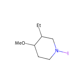 CCC1CN(I)CCC1OC